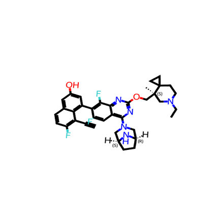 C#Cc1c(F)ccc2cc(O)cc(-c3c(F)cc4c(N5C[C@H]6CC[C@@H](C5)N6)nc(OC[C@]5(C)CN(CC)CCC56CC6)nc4c3F)c12